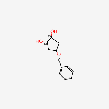 O[C@H]1CC(OCc2ccccc2)C[C@@H]1O